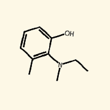 CCN(C)c1c(C)cccc1O